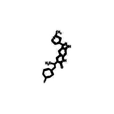 Cc1cc(-c2n[nH]c3cc4[nH]c(=O)c(C(C)CC5=CC=C(F)CC=C5)cc4cc23)ccn1